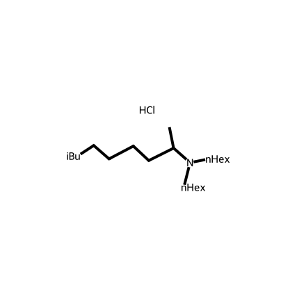 CCCCCCN(CCCCCC)C(C)CCCCC(C)CC.Cl